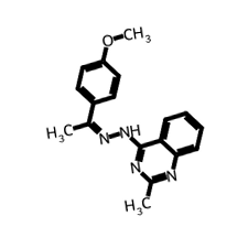 COc1ccc(/C(C)=N\Nc2nc(C)nc3ccccc23)cc1